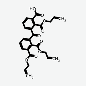 C=CCOC(=O)c1cccc(C(=O)c2cccc(C(=O)O)c2C(=O)OCC=C)c1C(=O)OCC=C